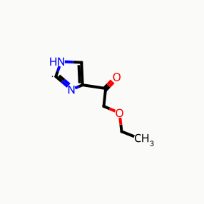 CCOCC(=O)c1c[nH][c]n1